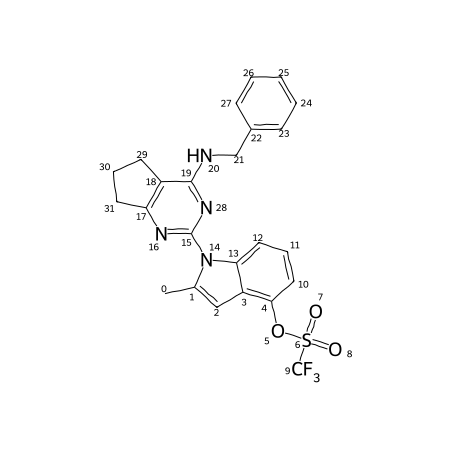 Cc1cc2c(OS(=O)(=O)C(F)(F)F)cccc2n1-c1nc2c(c(NCc3ccccc3)n1)CCC2